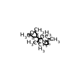 CC1CC(C(C(=O)N2CCC[C@H]2C(C)C)C(C)C)CC(C)O1